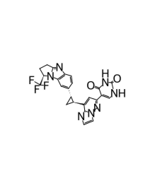 O=c1[nH]cc(-c2cc([C@H]3C[C@@H]3c3ccc4nc5n(c4c3)[C@@H](C(F)(F)F)CC5)c3nccn3n2)c(=O)[nH]1